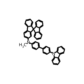 CN(c1ccc(-c2ccc(-n3c4ccccc4c4ccccc43)cc2)cc1)c1ccc2c(c1)C1(c3ccccc3-c3ccccc31)c1ccccc1-2